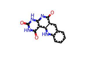 O=c1[nH]c(=O)c2c3[nH]c4ccccc4cc-3c(=O)nc2[nH]1